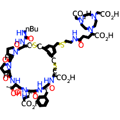 CCCCNC(=O)N[C@H]1CSCc2cc(CSCCNC(=O)CCC(C(=O)O)N3CCN(CC(=O)O)CCN(CC(=O)O)CC3)cc(c2)CSC[C@@H](C(=O)O)NC(=O)[C@H](Cc2ccccc2)NC(=O)[C@H](CCC(=O)O)NC(=O)[C@H]([C@@H](C)O)NC(=O)[C@@H]2CCCN2C(=O)[C@@H]2CCCN2C1=O